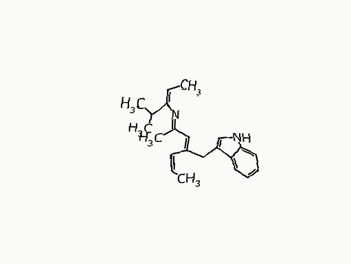 C\C=C/C(=C\C(C)=N\C(=C/C)C(C)C)Cc1c[nH]c2ccccc12